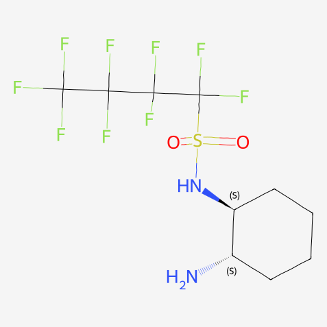 N[C@H]1CCCC[C@@H]1NS(=O)(=O)C(F)(F)C(F)(F)C(F)(F)C(F)(F)F